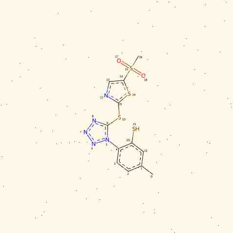 Cc1ccc(-n2nnnc2Sc2ncc(S(C)(=O)=O)s2)c(S)c1